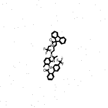 Cc1ccc2c(nc(C)n2CCCCC2(C(=O)NCC(F)(F)F)c3ccccc3-c3ccccc32)c1NC(=O)c1ccccc1-c1ccc(C(F)(F)F)cc1